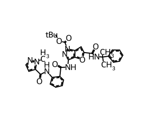 Cn1nccc1C(=O)Nc1ccccc1C(=O)Nc1nn(C(=O)OC(C)(C)C)c2cc(C(=O)NC(C)(C)c3ccccc3)oc12